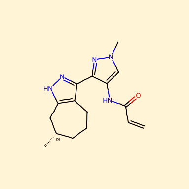 C=CC(=O)Nc1cn(C)nc1-c1n[nH]c2c1CCC[C@H](C)C2